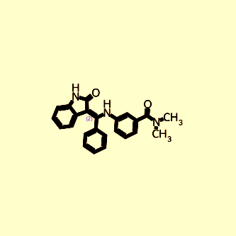 CN(C)C(=O)c1cccc(N/C(=C2\C(=O)Nc3ccccc32)c2ccccc2)c1